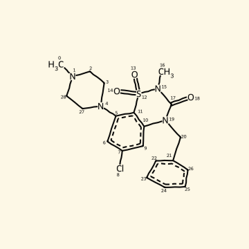 CN1CCN(c2cc(Cl)cc3c2S(=O)(=O)N(C)C(=O)N3Cc2ccccc2)CC1